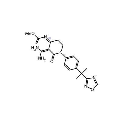 C=C(/N=C1/CCN(c2ccc(C(C)(C)c3ncon3)cc2)C(=O)C1=C(N)N)OC